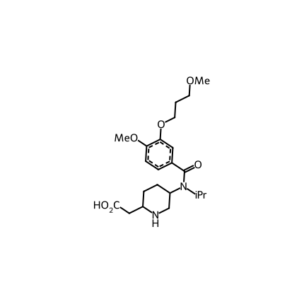 COCCCOc1cc(C(=O)N(C(C)C)C2CCC(CC(=O)O)NC2)ccc1OC